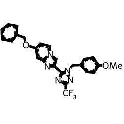 COc1ccc(Cn2nc(C(F)(F)F)nc2-c2cn3ccc(OCc4ccccc4)cc3n2)cc1